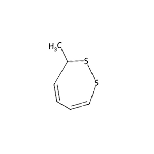 CC1C=CC=CSS1